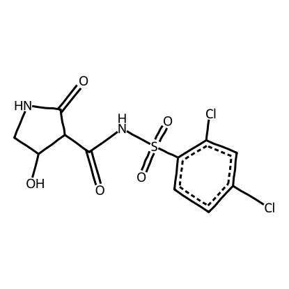 O=C1NCC(O)C1C(=O)NS(=O)(=O)c1ccc(Cl)cc1Cl